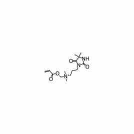 C=CC(=O)OC[N+](C)(C)CCCN1C(=O)NC(C)(C)C1=O